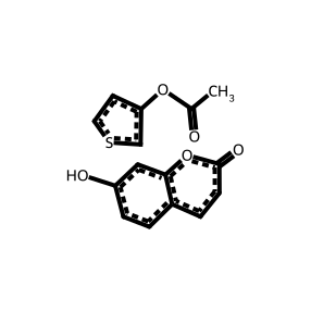 CC(=O)Oc1ccsc1.O=c1ccc2ccc(O)cc2o1